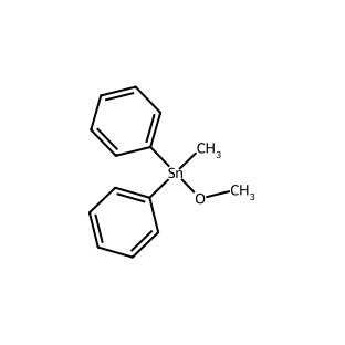 C[O][Sn]([CH3])([c]1ccccc1)[c]1ccccc1